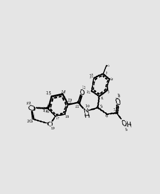 Cc1ccc(C(CC(=O)O)NC(=O)c2ccc3c(c2)OCO3)cc1